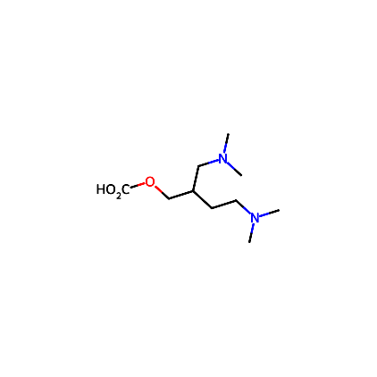 CN(C)CCC(COC(=O)O)CN(C)C